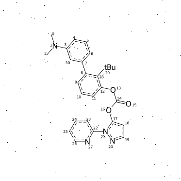 CN(C)c1cccc(-c2cccc(OC(=O)Oc3ccnn3-c3ccccn3)c2C(C)(C)C)c1